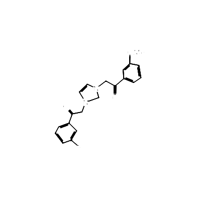 COc1cccc(C(=O)CN2[CH]N(CC(=O)c3cccc(F)c3)C=C2)c1